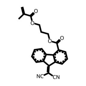 C=C(C)C(=O)OCCCOC(=O)c1cccc2c1-c1ccccc1C2=C(C#N)C#N